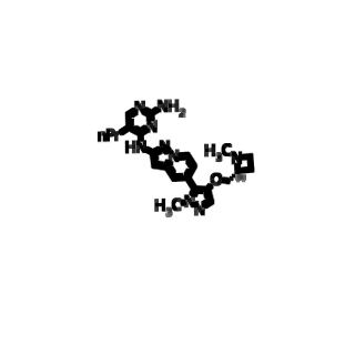 CCCc1cnc(N)nc1Nc1cc2cc(-c3c(OC[C@H]4CCN4C)cnn3C)ccn2n1